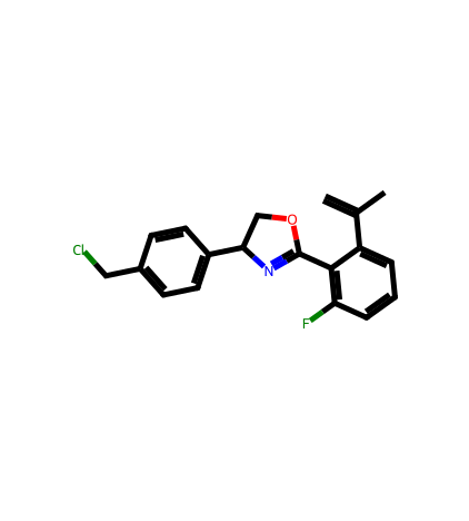 C=C(C)c1cccc(F)c1C1=NC(c2ccc(CCl)cc2)CO1